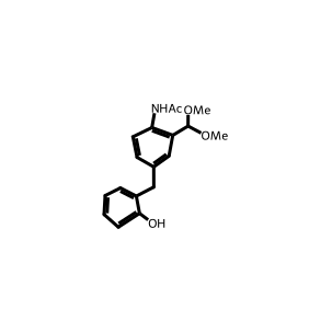 COC(OC)c1cc(Cc2ccccc2O)ccc1NC(C)=O